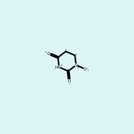 O=C1CC[S+]([O-])C(=O)N1